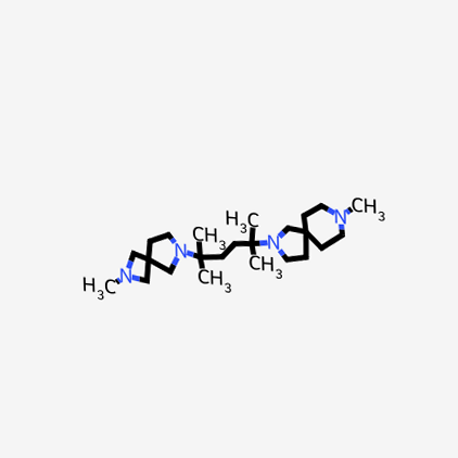 CN1CCC2(CC1)CCN(C(C)(C)CCC(C)(C)N1CCC3(CN(C)C3)C1)C2